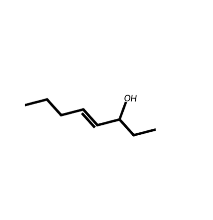 CCC/C=C/C(O)CC